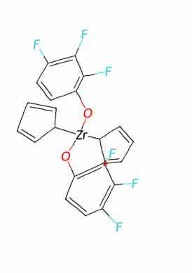 Fc1ccc([O][Zr]([O]c2ccc(F)c(F)c2F)([CH]2C=CC=C2)[CH]2C=CC=C2)c(F)c1F